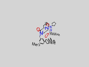 CNC(=O)C[C@@H]1CN(Cc2cc(OC)cc(OC)c2)C(=O)[C@@H](CC(C)C)N1C(=O)NC1CCCC1